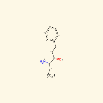 NC(CC(=O)O)C(=O)CCc1ccccc1